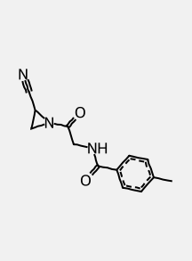 Cc1ccc(C(=O)NCC(=O)N2CC2C#N)cc1